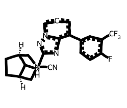 N#CN1C[C@H]2CC[C@@H](C1)C2Nc1nc2c(-c3ccc(F)c(C(F)(F)F)c3)cccn2n1